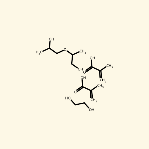 C=C(C)C(=O)O.C=C(C)C(=O)O.CC(O)COC(C)CO.OCCO